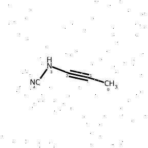 CC#CNC#N